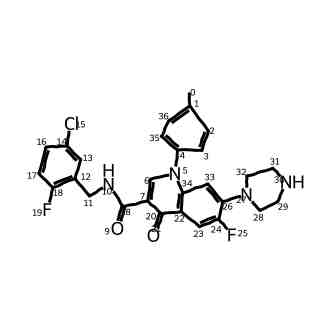 Cc1ccc(-n2cc(C(=O)NCc3cc(Cl)ccc3F)c(=O)c3cc(F)c(N4CCNCC4)cc32)cc1